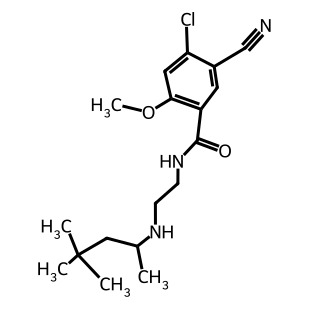 COc1cc(Cl)c(C#N)cc1C(=O)NCCNC(C)CC(C)(C)C